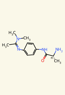 CC(=Nc1ccc(NC(=O)[C@@H](C)N)cc1)N(C)C